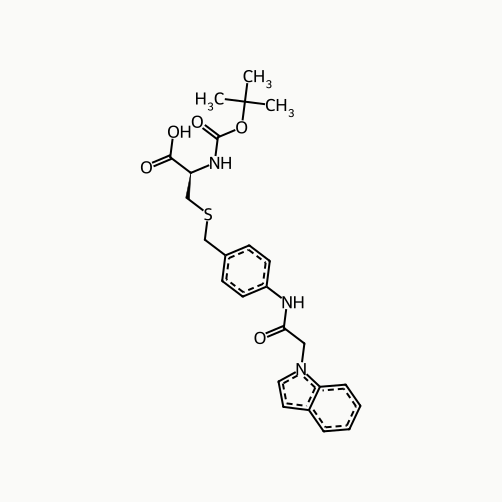 CC(C)(C)OC(=O)N[C@@H](CSCc1ccc(NC(=O)Cn2ccc3ccccc32)cc1)C(=O)O